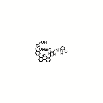 COc1nc(-c2cccc(-c3cccc(-c4cnc(CNC[C@@H]5CCC(=O)N5)c(OC)n4)c3Cl)c2Cl)ccc1CN1CC(CO)C1